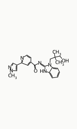 Cn1cc(-c2cc(C(=O)/N=c3\[nH]c4ccccc4n3CC(C)(C)CO)ccn2)cn1